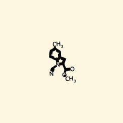 COC(=O)c1cc2cc(C)ccc2n1C#N